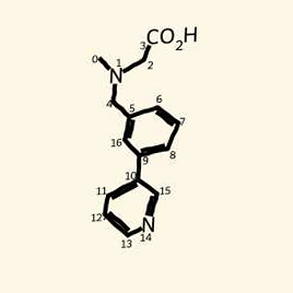 CN(CC(=O)O)Cc1cccc(-c2c[c]cnc2)c1